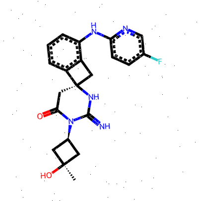 C[C@]1(O)C[C@@H](N2C(=N)N[C@]3(CC2=O)Cc2c(Nc4ccc(F)cn4)cccc23)C1